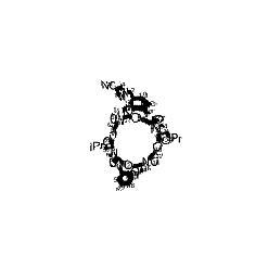 CC(C)C[C@H]1C(=O)O[C@H](Cc2ccc(Cn3cc(C#N)cn3)cc2)C(=O)N(C)[C@@H](CC(C)C)C(=O)O[C@H](C)C(=O)N(C)[C@@H](CC(C)C)C(=O)O[C@H](Cc2ccccc2)C(=O)N(C)[C@@H](CC(C)C)C(=O)O[C@H](C)C(=O)N1C